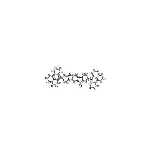 O=C1c2cc(N(c3ccccc3)c3cccc4ccccc34)ccc2-c2cc3sc4cc(N(c5ccccc5)c5cccc6ccccc56)ccc4c3cc21